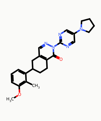 COc1cccc(C2CCc3c(cnn(-c4ncc(N5CCCC5)cn4)c3=O)C2)c1C